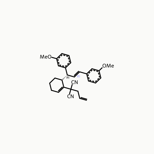 C=CCC(C#N)(C#N)C1=CCCCC1[C@@H](/C=C/c1cccc(OC)c1)c1cccc(OC)c1